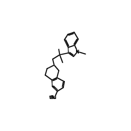 Cn1cc(C(C)(C)CC2CCc3cc(C(C)(C)C)ccc3C2)c2ccccc21